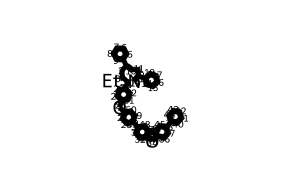 CCC1C/C(c2ccccc2)=C/C/C(c2ccccc2)=N\C1c1ccc(Oc2ccc(-c3ccc4oc5ccc(-c6ccccc6)cc5c4c3)cc2)cc1